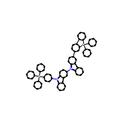 c1ccc([Si](c2ccccc2)(c2ccccc2)c2ccc(-n3c4ccccc4c4cc(-n5c6ccccc6c6cc(-c7ccc8c(c7)[Si](c7ccccc7)(c7ccccc7)c7ccccc7-8)ccc65)ccc43)cc2)cc1